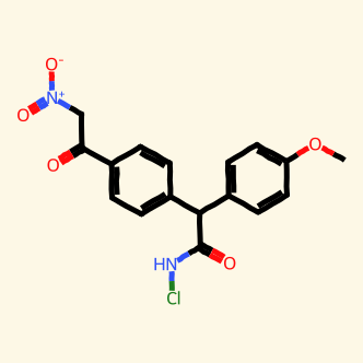 COc1ccc(C(C(=O)NCl)c2ccc(C(=O)C[N+](=O)[O-])cc2)cc1